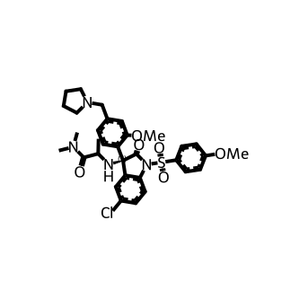 COc1ccc(S(=O)(=O)N2C(=O)[C@@](NC(C)C(=O)N(C)C)(c3ccc(CN4CCCC4)cc3OC)c3cc(Cl)ccc32)cc1